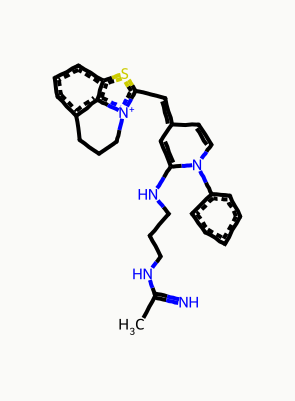 CC(=N)NCCCNC1=CC(=Cc2sc3cccc4c3[n+]2CCC4)C=CN1c1ccccc1